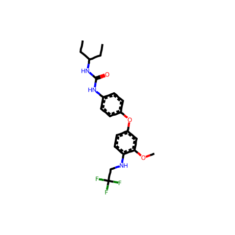 CCC(CC)NC(=O)Nc1ccc(Oc2ccc(NCC(F)(F)F)c(OC)c2)cc1